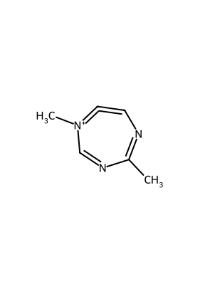 CC1=NC=C=[N+](C)C=N1